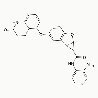 Nc1ccccc1NC(=O)C1C2Oc3ccc(Oc4ccnc5c4CCC(=O)N5)cc3C21